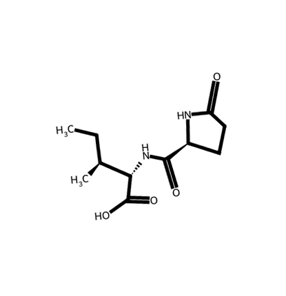 CC[C@H](C)[C@H](NC(=O)[C@@H]1CCC(=O)N1)C(=O)O